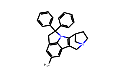 Cc1cc2c3c(c1)c1c(n3C(c3ccccc3)(c3ccccc3)C2)C2CCN(C1)C2